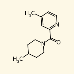 Cc1ccnc(C(=O)N2CCC(C)CC2)c1